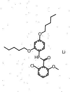 CCCCCOc1ccc(PC(=O)c2c(Cl)cccc2OC)c(OCCCCC)c1.[Li]